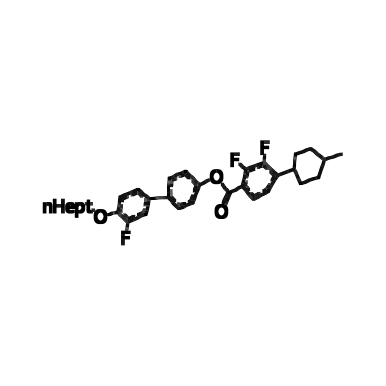 CCCCCCCOc1ccc(-c2ccc(OC(=O)c3ccc(C4CCC(C)CC4)c(F)c3F)cc2)cc1F